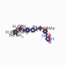 COc1cc(C(=O)NC2CCC(=O)NC2=O)ccc1O[C@H]1C[C@H](N(CC2CCN(c3ccc(C(=O)N[C@H]4C(C)(C)[C@H](Oc5cc(C)c(C#N)c(C)c5)C4(C)C)cc3)CC2)C(C)C)C1